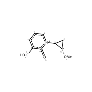 CO[C@H]1CC1n1cccc(C(=O)O)c1=O